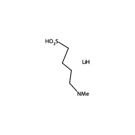 CNCCCCS(=O)(=O)O.[LiH]